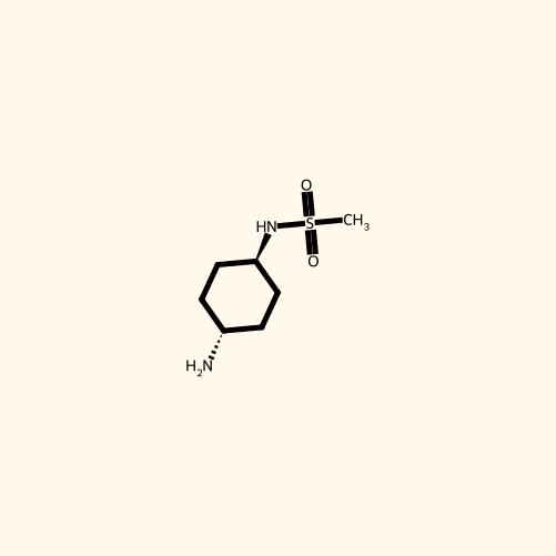 CS(=O)(=O)N[C@H]1CC[C@H](N)CC1